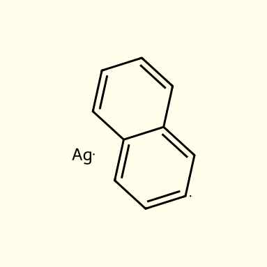 [Ag].[c]1ccc2ccccc2c1